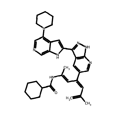 C=C(C)/C=C(\C=C(/C)NC(=O)C1CCCCC1)c1cnc2[nH]nc(-c3cc4c(N5CCCCC5)cncc4[nH]3)c2c1